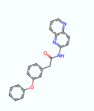 O=C(Cc1cccc(Oc2ccccc2)c1)Nc1ccc2ncccc2n1